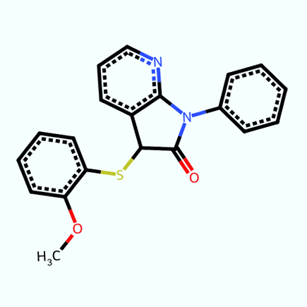 COc1ccccc1SC1C(=O)N(c2ccccc2)c2ncccc21